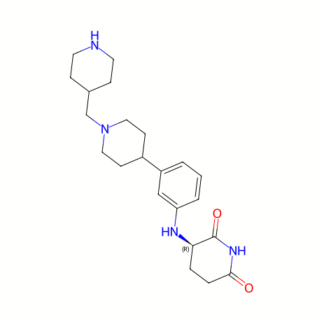 O=C1CC[C@@H](Nc2cccc(C3CCN(CC4CCNCC4)CC3)c2)C(=O)N1